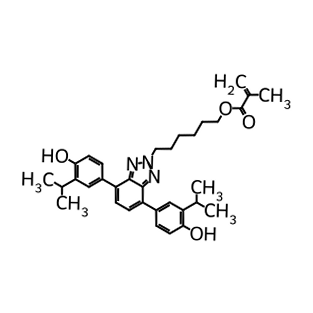 C=C(C)C(=O)OCCCCCCn1nc2c(-c3ccc(O)c(C(C)C)c3)ccc(-c3ccc(O)c(C(C)C)c3)c2n1